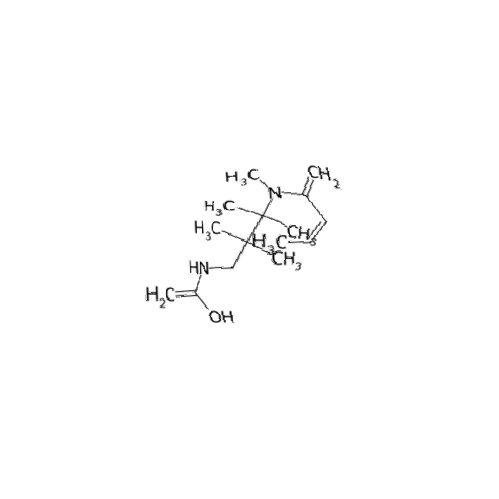 C=C(O)NCC(C)(C)C(C)(C)N(C)C(=C)/C=C\C